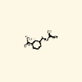 CC(C)C(=O)OCC1CCCC(C(=O)C(C)(C)C)C1